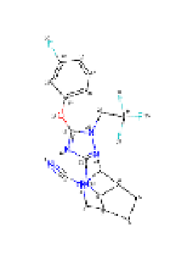 N#CN1CC2CCC(C1)C2Nc1nc(Oc2cccc(F)c2)n(CC(F)(F)F)n1